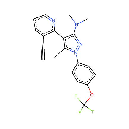 C#Cc1cccnc1-c1c(N(C)C)nn(-c2ccc(OC(F)(F)F)cc2)c1C